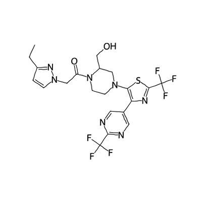 CCc1ccn(CC(=O)N2CCN(c3sc(C(F)(F)F)nc3-c3cnc(C(F)(F)F)nc3)CC2CO)n1